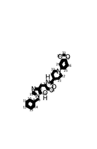 O=C(NC(Cc1cn(Cc2ccccc2)cn1)C(=O)O)C1CCN(c2ccc3c(c2)OCO3)CC1